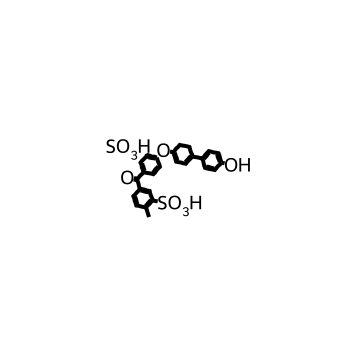 Cc1ccc(C(=O)c2ccc(OC3=CC=C(c4ccc(O)cc4)CC3)c(S(=O)(=O)O)c2)cc1S(=O)(=O)O